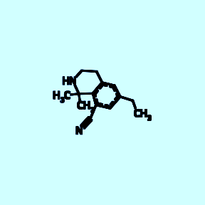 CCc1cc(C#N)c2c(c1)CCNC2(C)C